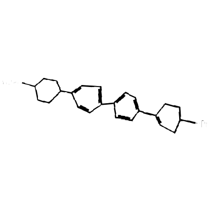 CCCCCCCCCCC1CCC(c2ccc(-c3ccc(C4=CCC(CCC)CC4)cc3)cc2)CC1